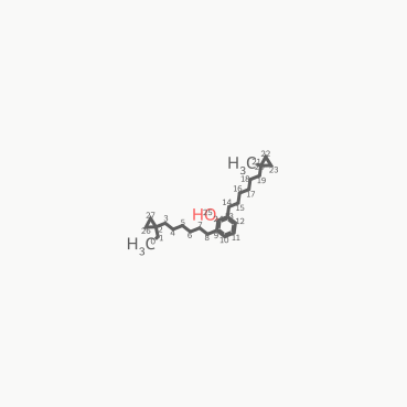 CCC1(CCCCCCc2cccc(CCCCCCC3(C)CC3)c2O)CC1